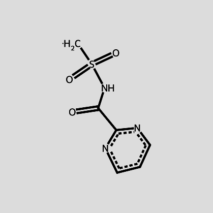 [CH2]S(=O)(=O)NC(=O)c1ncccn1